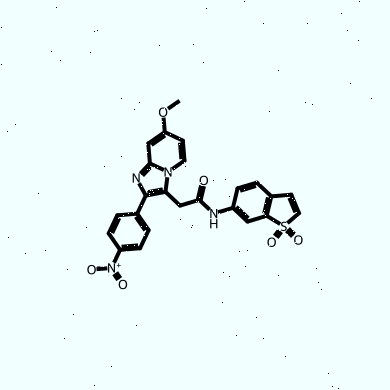 COc1ccn2c(CC(=O)Nc3ccc4c(c3)S(=O)(=O)C=C4)c(-c3ccc([N+](=O)[O-])cc3)nc2c1